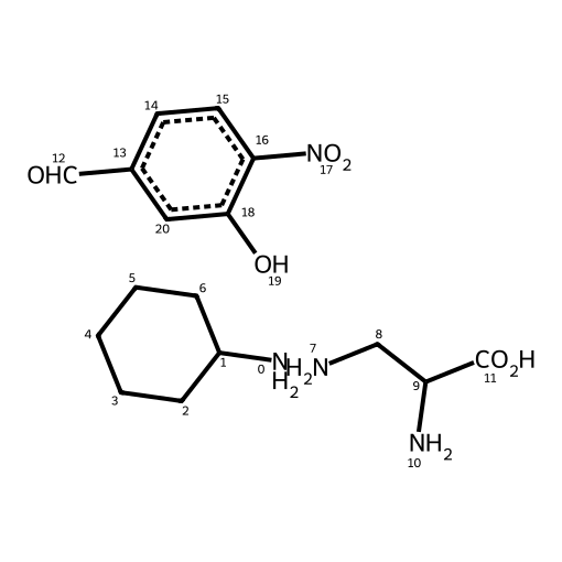 NC1CCCCC1.NCC(N)C(=O)O.O=Cc1ccc([N+](=O)[O-])c(O)c1